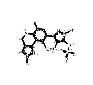 CCn1nc(-c2cc(C)c3c(c2C)-c2nn(C)cc2CS3)c(C=O)c1OS(C)(=O)=O